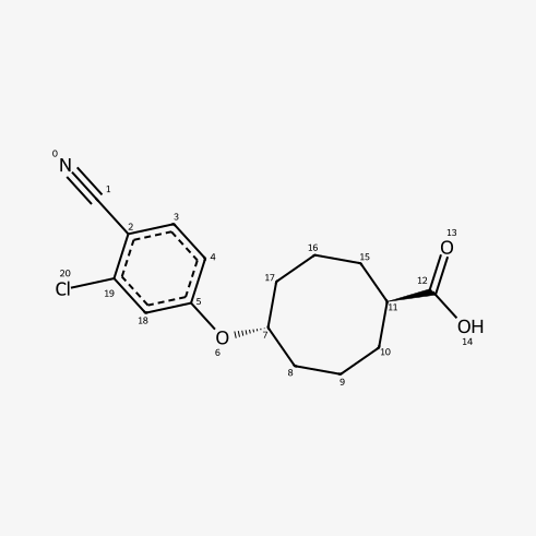 N#Cc1ccc(O[C@H]2CCC[C@H](C(=O)O)CCC2)cc1Cl